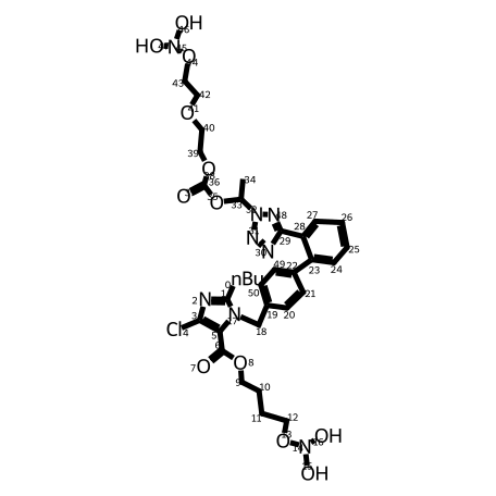 CCCCc1nc(Cl)c(C(=O)OCCCCON(O)O)n1Cc1ccc(-c2ccccc2-c2nnn(C(C)OC(=O)OCCOCCON(O)O)n2)cc1